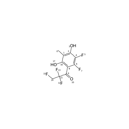 Cc1c(O)c(F)c(F)c(C(=O)C(F)(F)CF)c1O